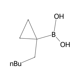 CCCCCC1(B(O)O)CC1